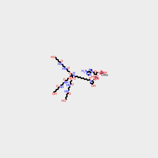 COP(=O)(O)OC[C@H]1O[C@@H](n2cnc3c(N)ncnc32)C[C@@H]1OP(=O)(O)OC[C@@H]1C[C@@H](O)CN1C(=O)CCCCCCCCC(=O)NC(COCCC(=O)NCCCNC(=O)CCCCO)(COCCC(=O)NCCCNC(=O)CCCCO)COCCC(=O)NCCCNC(=O)CCCCO